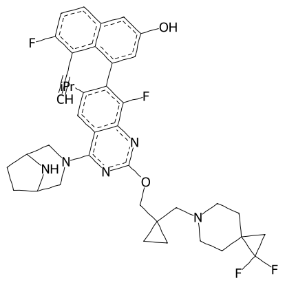 C#Cc1c(F)ccc2cc(O)cc(-c3c(C(C)C)cc4c(N5CC6CCC(C5)N6)nc(OCC5(CN6CCC7(CC6)CC7(F)F)CC5)nc4c3F)c12